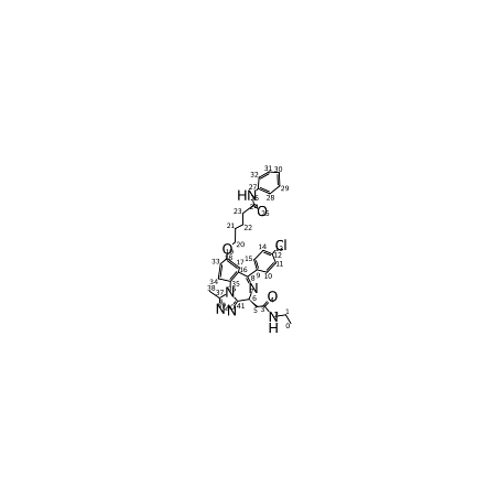 CCNC(=O)C[C@@H]1N=C(c2ccc(Cl)cc2)c2cc(OCCCCC(=O)Nc3ccccc3)ccc2-n2c(C)nnc21